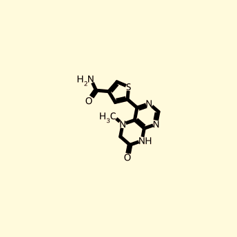 CN1CC(=O)Nc2ncnc(-c3cc(C(N)=O)cs3)c21